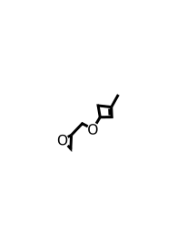 CC1=CC(OCC2CO2)C1